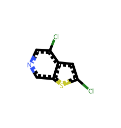 Clc1cc2c(Cl)cncc2s1